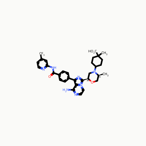 C[C@H]1CO[C@@H](c2nc(-c3ccc(C(=O)Nc4cc(C(F)(F)F)ccn4)cc3)c3c(N)nccn23)CN1C1CCC(C)(C(=O)O)CC1